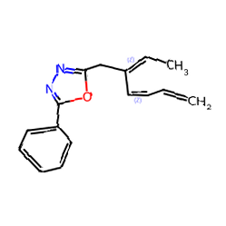 C=C/C=C\C(=C/C)Cc1nnc(-c2ccccc2)o1